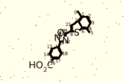 Cc1ccc(C)c2sc(-c3nc(-c4ccc(C(=O)O)cc4)no3)cc12